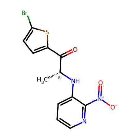 C[C@@H](Nc1cccnc1[N+](=O)[O-])C(=O)c1ccc(Br)s1